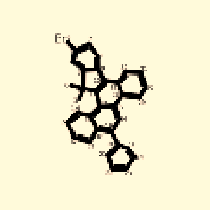 CC1(C)c2cc(Br)ccc2-c2c1c1c3ccccc3c(-c3ccccc3)cc1c1ccccc21